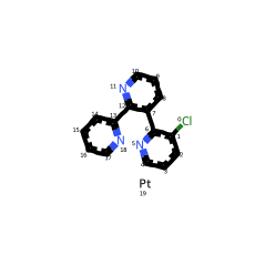 Clc1cccnc1-c1cccnc1-c1ccccn1.[Pt]